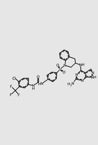 Nc1nc(NC2Cc3ccccc3N(S(=O)(=O)c3ccc(NC(=O)Nc4ccc(Cl)c(C(F)(F)F)c4)cc3)C2)c2cn[nH]c2n1